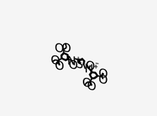 COC(=O)c1cc(C(=O)OC)cc(/[N+]([O-])=C/c2ccc(/C=[N+](\[O-])c3cc(C(=O)OC)cc(C(=O)OC)c3)s2)c1